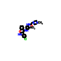 CN1CCN(CC(=O)Nc2ccc(NC(=C3C(=O)Nc4cc(Cl)ccc43)c3ccccc3)cc2[N+](=O)[O-])CC1